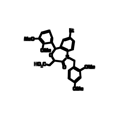 CCc1ccc2c(c1)C(c1cccc(OC)c1OC)OC(CC(=O)O)C(=O)N2Cc1ccc(OC)cc1OC